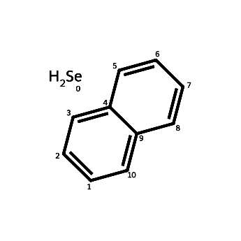 [SeH2].c1ccc2ccccc2c1